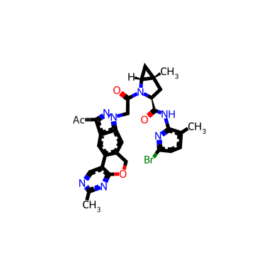 CC(=O)c1nn(CC(=O)N2[C@H](C(=O)Nc3nc(Br)ccc3C)C[C@@]3(C)C[C@@H]23)c2cc3c(cc12)-c1cnc(C)nc1OC3